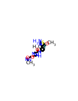 COC[C@]12C[C@H]1[C@](C)(c1cc(NC(=O)c3cnc(OCc4nc(C)no4)cn3)ccc1F)N=C(N)S2